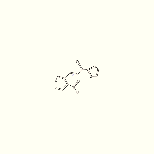 O=C(/C=C/c1ccccc1[N+](=O)[O-])c1ccco1